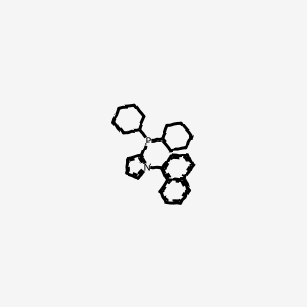 c1ccc2c(-n3cccc3P(C3CCCCC3)C3CCCCC3)cccc2c1